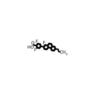 CCCc1ccc2c(ccc3c(F)c(-c4cc(F)c(C(=O)O)c(F)c4)ccc32)c1